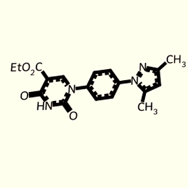 CCOC(=O)c1cn(-c2ccc(-n3nc(C)cc3C)cc2)c(=O)[nH]c1=O